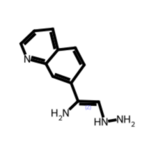 NN/C=C(\N)c1ccc2cccnc2c1